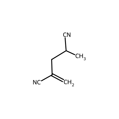 C=C(C#N)CC(C)C#N